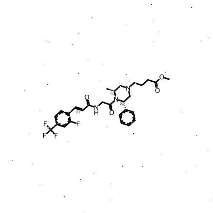 COC(=O)CCCN1C[C@H](c2ccccc2)N(C(=O)CNC(=O)/C=C/c2ccc(C(F)(F)F)cc2F)[C@@H](C)C1